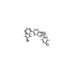 O=S(=O)(Nc1ccc(-c2ncnn3cc(Br)cc23)cc1)c1ccc(Cl)cc1